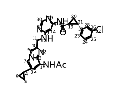 CC(=O)Nc1cc(C2CC2)cn2cc(CNc3cc(NC(=O)[C@H]4C[C@@H]4c4cccc(Cl)c4)ncn3)nc12